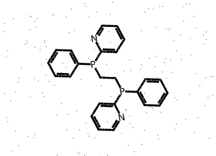 c1ccc(P(CCP(c2ccccc2)c2ccccn2)c2ccccn2)cc1